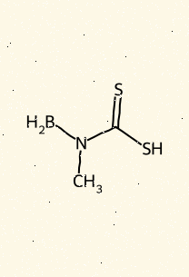 BN(C)C(=S)S